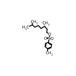 Cc1ccc(S(=O)(=O)OCC[C@@H](C)CCCC(C)C)cc1